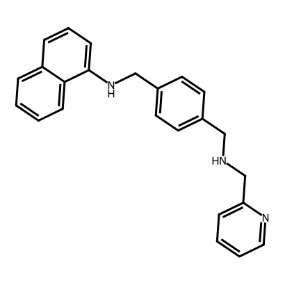 c1ccc(CNCc2ccc(CNc3cccc4ccccc34)cc2)nc1